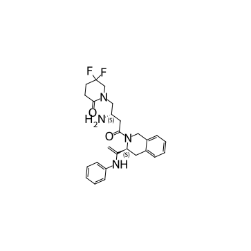 C=C(Nc1ccccc1)[C@@H]1Cc2ccccc2CN1C(=O)C[C@H](N)CN1CC(F)(F)CCC1=O